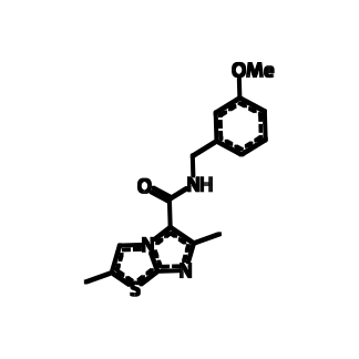 COc1cccc(CNC(=O)c2c(C)nc3sc(C)cn23)c1